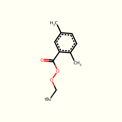 Cc1ccc(C)c(C(=O)OO[CH]C(C)(C)C)c1